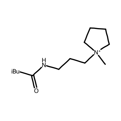 CCC(C)C(=O)NCCC[N+]1(C)CCCC1